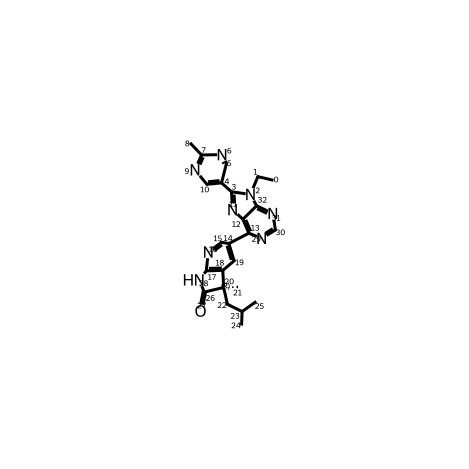 CCn1c(-c2cnc(C)nc2)nc2c(-c3cnc4c(c3)[C@@](C)(CC(C)C)C(=O)N4)ncnc21